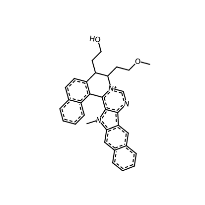 COCCC1C(CCO)c2ccc3ccccc3c2-c2c3c(nc[n+]21)c1cc2ccccc2cc1n3C